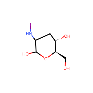 OC[C@H]1OC(O)C(NI)C[C@@H]1O